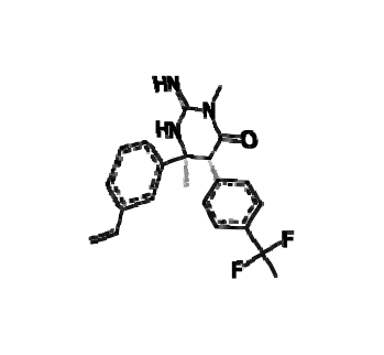 C=Cc1cccc([C@@]2(C)NC(=N)N(C)C(=O)[C@@H]2c2ccc(C(C)(F)F)cc2)c1